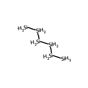 [SiH2][SiH2][SiH2][SiH2][SiH2][SiH3]